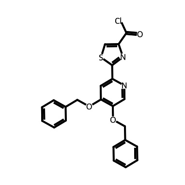 O=C(Cl)c1csc(-c2cc(OCc3ccccc3)c(OCc3ccccc3)cn2)n1